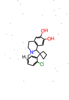 CN1CCc2cc(O)c(O)cc2C1C1(c2ccccc2Cl)CCC1